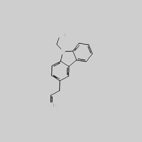 C=CCc1ccc2c(c1)c1ccccc1n2CC